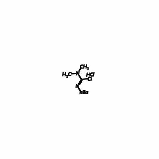 CCCCN=C(Cl)N(C)C.Cl